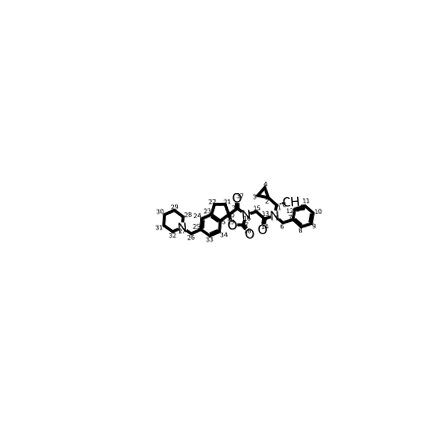 C[C@@H](C1CC1)N(Cc1ccccc1)C(=O)CN1C(=O)OC2(CCc3cc(CN4CCCCC4)ccc32)C1=O